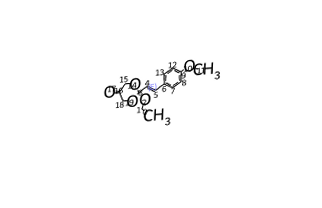 CCOC1(/C=C/c2ccc(OC)cc2)OCC(=O)CO1